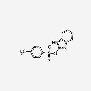 Cc1ccc(S(=O)(=S)Oc2nc3ccccc3[nH]2)cc1